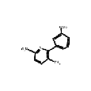 COc1cccc(-c2nc([N+](=O)[O-])ccc2C)c1